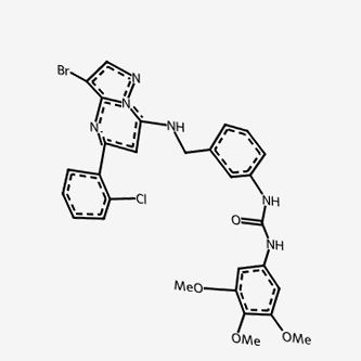 COc1cc(NC(=O)Nc2cccc(CNc3cc(-c4ccccc4Cl)nc4c(Br)cnn34)c2)cc(OC)c1OC